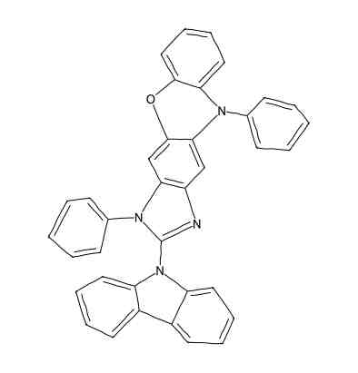 c1ccc(N2c3ccccc3Oc3cc4c(cc32)nc(-n2c3ccccc3c3ccccc32)n4-c2ccccc2)cc1